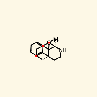 CCOC12CCCC[C@@]13CCN[C@@H]2Cc1ccccc13